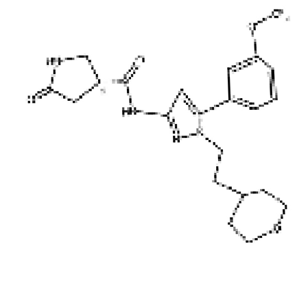 O=C1C[C@@H](C(=O)Nc2cc(-c3cccc(OC(F)(F)F)c3)n(CCC3CCOCC3)n2)CN1